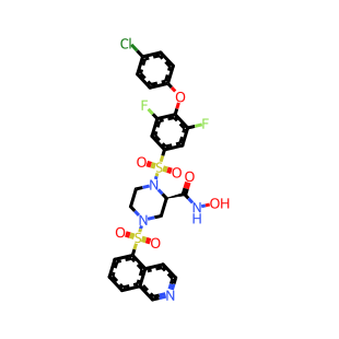 O=C(NO)[C@H]1CN(S(=O)(=O)c2cccc3cnccc23)CCN1S(=O)(=O)c1cc(F)c(Oc2ccc(Cl)cc2)c(F)c1